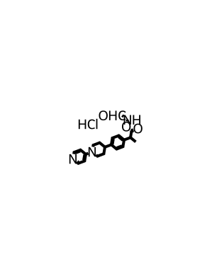 CC(C(=O)ONC=O)c1ccc(C2CCN(c3ccncc3)CC2)cc1.Cl